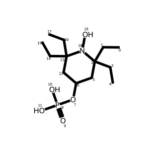 CCC1(CC)CC(OP(=O)(O)O)CC(CC)(CC)N1O